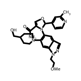 COCCn1ncc2cc(N3C(C(N)=O)=COC3c3ccnc(C)c3)c(N3CCC(CO)CC3)cc21